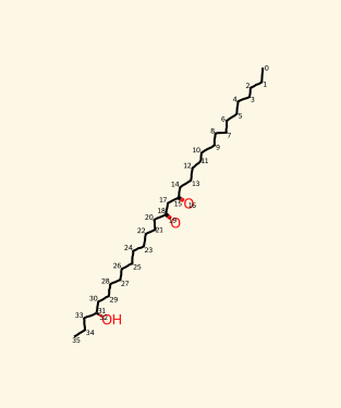 CCCCCCCCCCCCCCCC(=O)CC(=O)CCCCCCCCCCCC(O)CCC